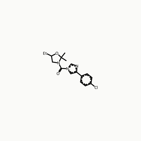 CCC1CN(C(=O)n2cnc(-c3ccc(Cl)cc3)c2)C(C)(C)O1